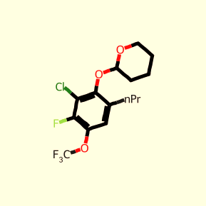 CCCc1cc(OC(F)(F)F)c(F)c(Cl)c1OC1CCCCO1